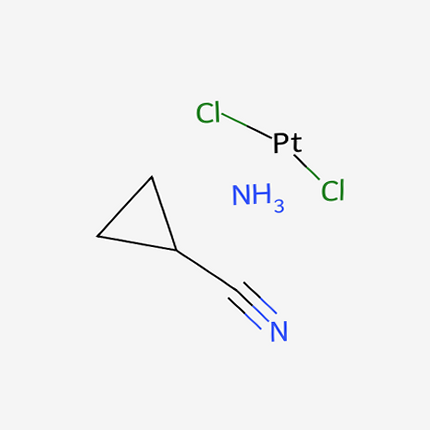 N.N#CC1CC1.[Cl][Pt][Cl]